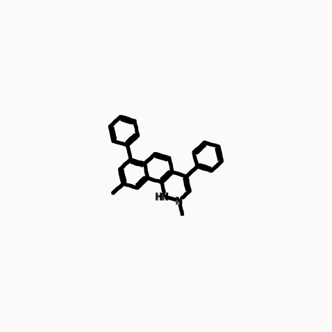 Cc1cc(-c2ccccc2)c2ccc3c(c2c1)NN(C)C=C3c1ccccc1